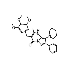 COc1cc(Cc2c(C)[nH]c3c(N4CCCCC4)c(-c4ccccc4)nn3c2=O)cc(OC)c1OC